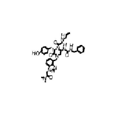 C=CCNCC(=O)N1[C@@H](NC(=O)NCc2ccccc2)CN(Cc2cccc3c2nnn3CC(=O)N(C)C)C(=O)[C@@H]1Cc1ccc(O)cc1